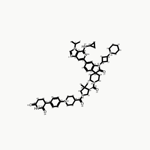 CC(C)n1cnc2cc(-c3ccc4c(c3)N(C3CC(N5CCCCC5)C3)C(=O)C43CCN(C(=O)[C@H]4CN(C(=O)C5CCN(c6ccc(C7CCC(=O)NC7=O)cc6)CC5)CC4(C)C)CC3)nc(NC3CC3)c21